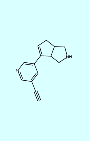 C#Cc1cncc(C2=CCC3CNCC23)c1